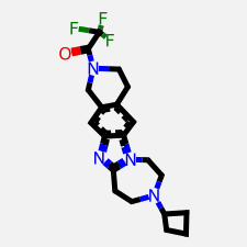 O=C(N1CCc2cc3c(cc2C1)nc1n3CCN(C2CCC2)CC1)C(F)(F)F